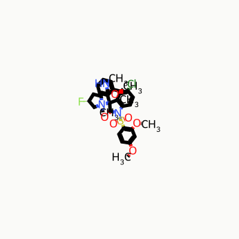 CNC(=O)[C@@H]1C[C@@H](F)C[N+]1(C)C1(c2ccccc2C(C)C)C(=O)N(S(=O)(=O)c2ccc(OC)cc2OC)c2ccc(Cl)cc21